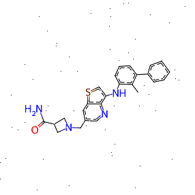 Cc1c(Nc2csc3cc(CN4CC(C(N)=O)C4)cnc23)cccc1-c1ccccc1